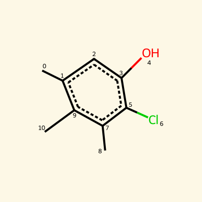 Cc1cc(O)c(Cl)c(C)c1C